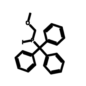 COCP(I)C(c1ccccc1)(c1ccccc1)c1ccccc1